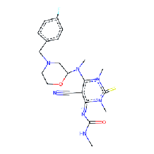 CNC(=O)/N=c1/c(C#N)c(N(C)C2CN(Cc3ccc(F)cc3)CCO2)n(C)c(=S)n1C